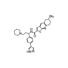 CC(C)(C)[C@H]1CCc2nc3sc(C(=O)NC(CCN4CCCCC4)c4ccc(-c5cn[nH]c5)cc4)cc3cc2C1